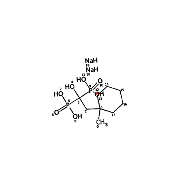 CC1(CC(O)(P(=O)(O)O)P(=O)(O)O)CCCCC1.[NaH].[NaH]